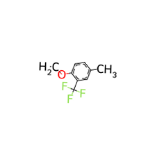 [CH2]Oc1ccc(C)cc1C(F)(F)F